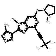 CCn1c(-c2nonc2N)nc2c(C#CC(C)(C)O)nc(O[C@H]3CCC[C@H]3N)cc21